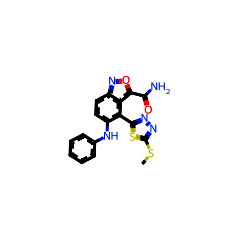 CSc1nnc(-c2c(Nc3ccccc3)ccc3noc(C(N)=O)c23)s1